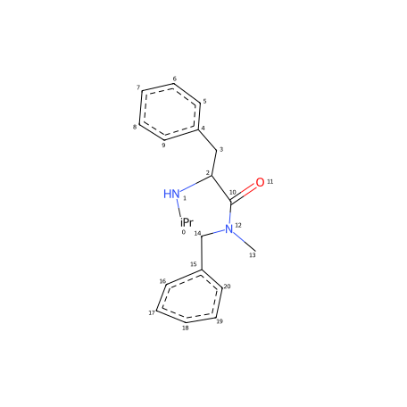 CC(C)NC(Cc1ccccc1)C(=O)N(C)Cc1ccccc1